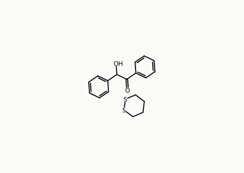 C1CCSSC1.O=C(c1ccccc1)C(O)c1ccccc1